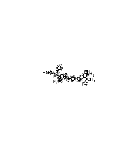 C=C(CCC(F)F)C1=C(CN2CCN(c3ccc(C(=O)NS(=O)(=O)c4ccc(N[C@H](CCN5CC(O)C5)CSc5ccccc5)c(S(=O)(=O)C(F)(F)F)c4)cc3)CC2)CCC(C)(C)C1